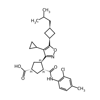 Cc1ccc(NC(=O)[C@@H]2C[C@H](C(=O)O)C[C@H]2c2noc([C@H]3C[C@@H](CC(C)C)C3)c2C2CC2)c(Cl)c1